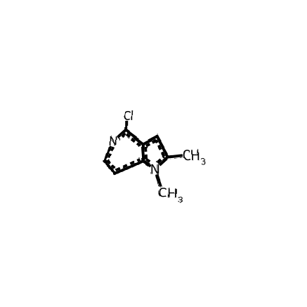 Cc1cc2c(Cl)nccc2n1C